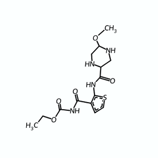 CCOC(=O)NC(=O)c1ccsc1NC(=O)C1CNC(OC)CN1